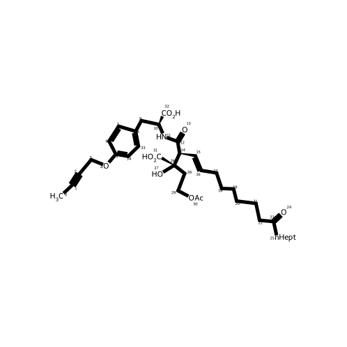 CC#CCOc1ccc(C[C@H](NC(=O)[C@@H](C=CCCCCCCC(=O)CCCCCCC)[C@@](O)(CCOC(C)=O)C(=O)O)C(=O)O)cc1